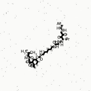 COC1C(OC(=O)NCCCCCCNC(=O)CNN[C@H](C(=O)C(=O)CNNCC(C)=O)C(C)C)CC[C@]2(CO2)C1C1(C)O[C@@H]1CC=C(C)C